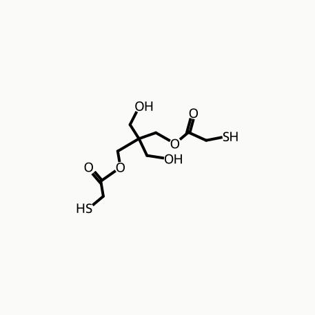 O=C(CS)OCC(CO)(CO)COC(=O)CS